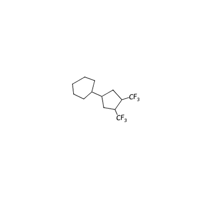 FC(F)(F)C1CC(C2CCCCC2)CC1C(F)(F)F